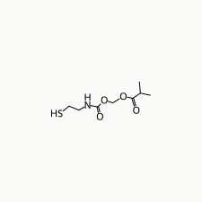 CC(C)C(=O)OCOC(=O)NCCS